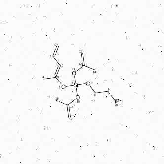 C=CC=C(C)O[Si](OCCC(C)C)(OC(=C)C)OC(=C)C